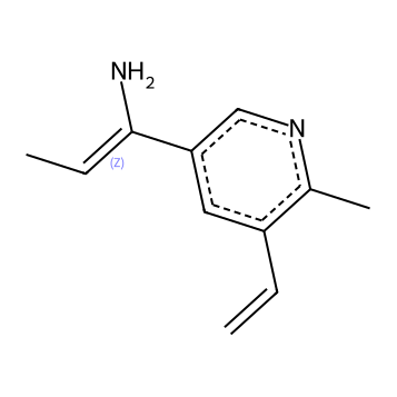 C=Cc1cc(/C(N)=C/C)cnc1C